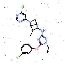 CCn1nc(NC2C(C)C3C2CN3c2cc(Cl)ncn2)nc1Oc1cccc(Cl)c1